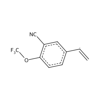 C=[C]c1ccc(OC(F)(F)F)c(C#N)c1